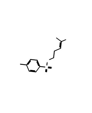 CC(=CCCOS(=O)(=O)c1ccc(C)cc1)C(F)(F)F